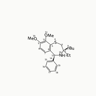 CCCC[C@]1(CC)CSc2c(ccc(OC)c2OC)[C@H](c2ccccc2)N1